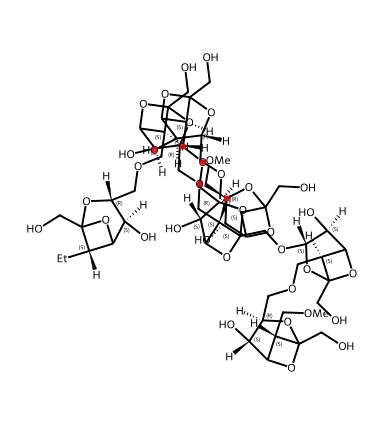 CC[C@H]1C2OC1(CO)O[C@H](COC[C@H]1C3OC1(CO)O[C@H](COC[C@H]1C4OC1(CO[C@H]1OC5(CO)OC([C@@H]1O)[C@@H]5COC[C@H]1OC5(CO)OC([C@@H]1O)[C@@H]5COC)O[C@H](COC[C@H]1C5OC1(CO)O[C@H](COC[C@H]1C6OC1(CO)O[C@H](COC)[C@H]6O)[C@H]5O)[C@H]4O)[C@H]3O)[C@H]2O